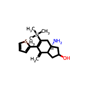 C=C1C(c2cccs2)=C([Si](C)(C)C)C[C@@]2(N)CC(O)CC12